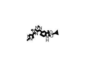 Cc1ncc(-c2nc3c(-c4ccc5c(c4)C(C)(OCC4CC4)C(=O)N5)ncnc3n2C)cn1